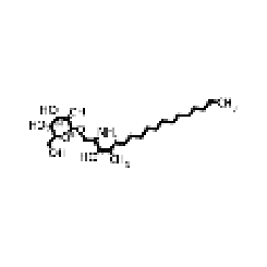 CCCCCCCCCCCCCC[C@@H](C)[C@@H](O)C(N)CO[C@H]1OC(CO)[C@H](O)[C@H](O)C1O